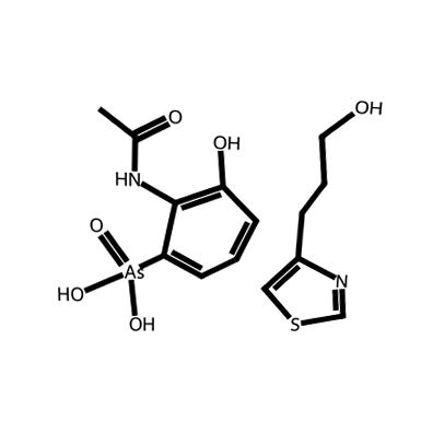 CC(=O)Nc1c(O)cccc1[As](=O)(O)O.OCCCc1cscn1